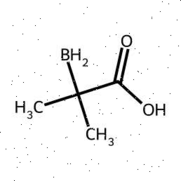 BC(C)(C)C(=O)O